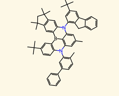 Cc1cc2c3c(c1)N(c1cc(C(C)(C)C)cc4c1Cc1ccccc1-4)c1cc4c(cc1B3c1cc(C(C)(C)C)ccc1N2c1cc(-c2ccccc2)ccc1C)C(C)(C)CC4(C)C